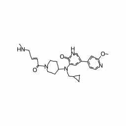 CNC/C=C/C(=O)N1CCC(N(CC2CC2)c2cc(-c3ccnc(OC)c3)c[nH]c2=O)CC1